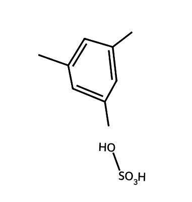 Cc1cc(C)cc(C)c1.O=S(=O)(O)O